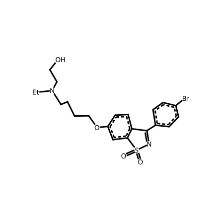 CCN(CCO)CCCCOc1ccc2c(c1)S(=O)(=O)N=C2c1ccc(Br)cc1